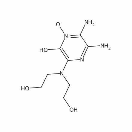 Nc1nc(N(CCO)CCO)c(O)[n+]([O-])c1N